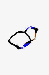 C1=NC2CCCN=C2S1